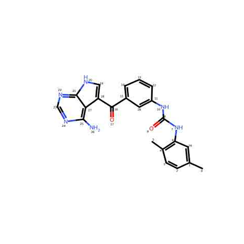 Cc1ccc(C)c(NC(=O)Nc2cccc(C(=O)c3c[nH]c4ncnc(N)c34)c2)c1